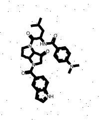 CC(C)CC(NC(=O)c1ccc(N(C)C)cc1)C(=O)N1CCC2C1C(=O)CN2C(=O)c1ccc2[nH]ccc2c1